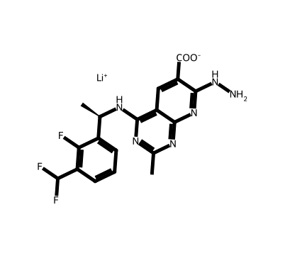 Cc1nc(N[C@H](C)c2cccc(C(F)F)c2F)c2cc(C(=O)[O-])c(NN)nc2n1.[Li+]